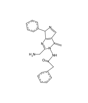 C=C1C2=C(N=C(CN)N1NC(=O)Cc1ccccc1)C(c1ccccc1)N=C2